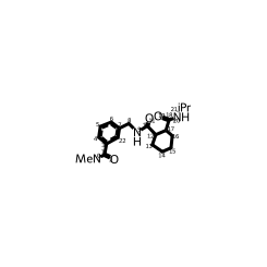 CNC(=O)c1cccc(CNC(=O)C2CCCCC2C(=O)NC(C)C)c1